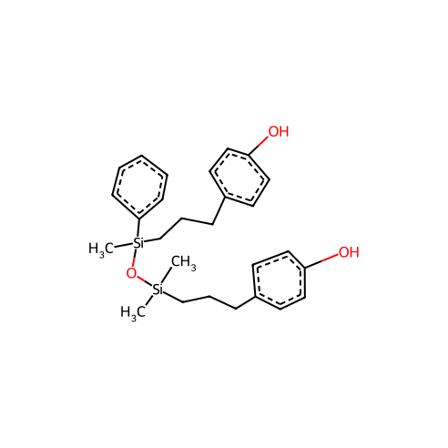 C[Si](C)(CCCc1ccc(O)cc1)O[Si](C)(CCCc1ccc(O)cc1)c1ccccc1